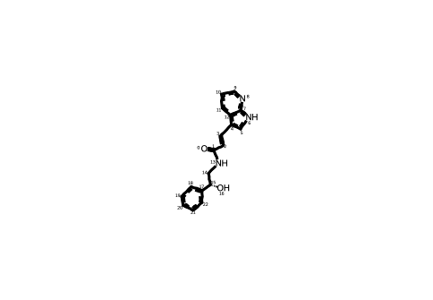 O=C(C=Cc1c[nH]c2ncccc12)NC[C@H](O)c1ccccc1